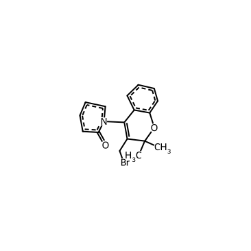 CC1(C)Oc2ccccc2C(n2ccccc2=O)=C1CBr